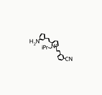 CC(C)C[n+]1c(/C=C/c2cccc(N)c2)cccc1/C=C/c1cccc(C#N)c1